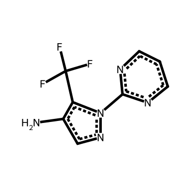 Nc1cnn(-c2ncccn2)c1C(F)(F)F